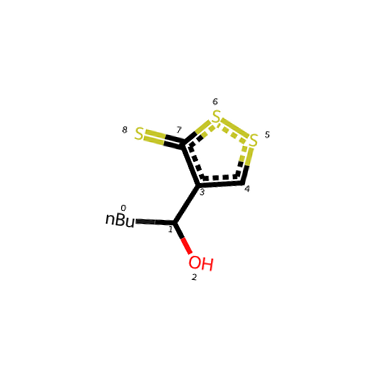 CCCCC(O)c1cssc1=S